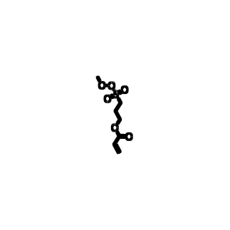 C=CC(=O)OCCCS(=O)(=O)OOC